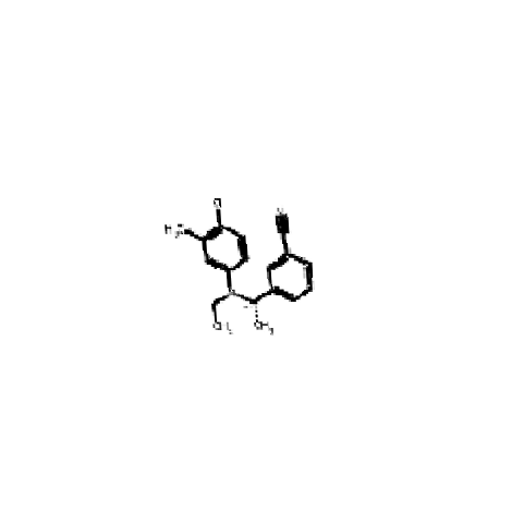 CCN(c1ccc(Cl)c(C)c1)[C@@H](C)c1cccc(C#N)c1